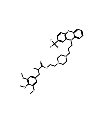 COc1cc(CC(C)C(=S)OCCN2CCN(CCCN3c4ccccc4Sc4ccc(C(F)(F)F)cc43)CC2)cc(OC)c1OC